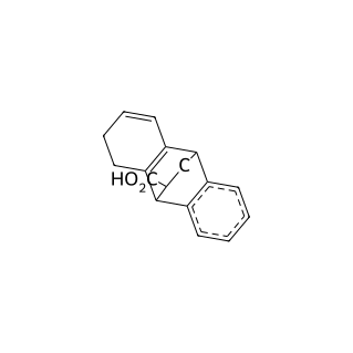 O=C(O)C1CC2C3=C(CCC=C3)C1c1ccccc12